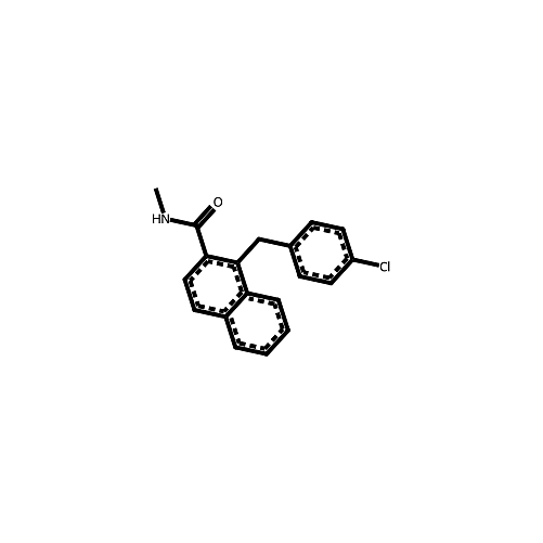 CNC(=O)c1ccc2ccccc2c1Cc1ccc(Cl)cc1